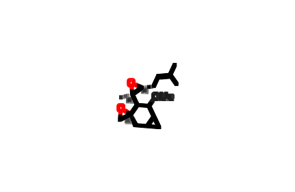 COC1C2CC2C[C@]2(CO2)C1[C@@]1(C)O[C@@H]1CC=C(C)C